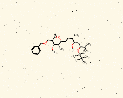 CO[C@@H]([C@@H](C)[C@H](O)CC[C@H](C)[C@H](C[C@H](O[Si](C)(C)C(C)(C)C)C(C)C)OC)[C@H](C)COCc1ccccc1